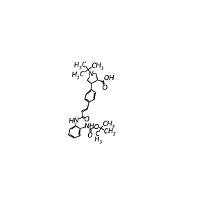 CC(C)(C)OC(=O)Nc1ccccc1NC(=O)/C=C/c1ccc(C2CN(C(C)(C)C)CC2C(=O)O)cc1